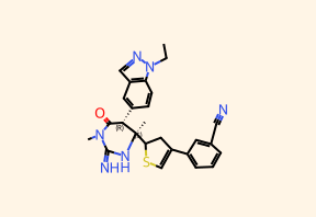 CCn1ncc2cc([C@H]3C(=O)N(C)C(=N)N[C@]3(C)C3CC(c4cccc(C#N)c4)=CS3)ccc21